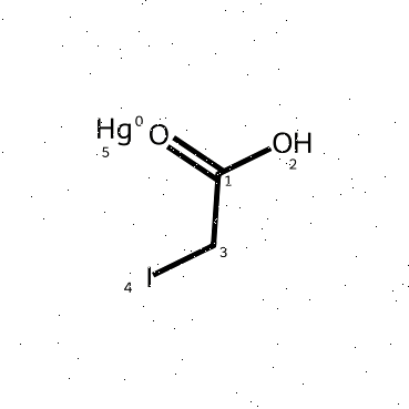 O=C(O)CI.[Hg]